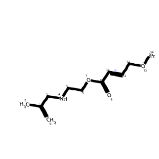 C=C(C)CNCCOC(=O)/C=C/COC(C)C